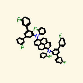 Fc1cccc(-c2cc(-c3cccc(F)c3)cc(N(c3ccccc3F)c3ccc4ccc5c(N(c6cc(-c7cccc(F)c7)cc(-c7cccc(F)c7)c6)c6ccccc6F)ccc6ccc3c4c65)c2)c1